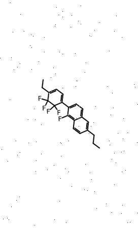 CCCc1ccc2c(F)c(C3=CC=C(CC)C(F)(F)C3(F)F)ccc2c1